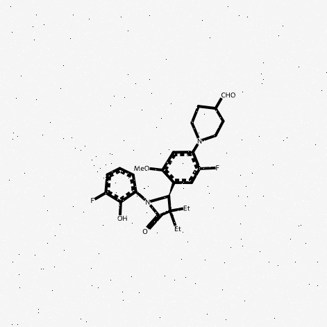 CCC1(CC)C(=O)N(c2cccc(F)c2O)[C@H]1c1cc(F)c(N2CCC(C=O)CC2)cc1OC